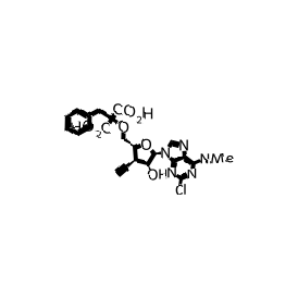 C#C[C@@H]1[C@@H](O)[C@H](n2cnc3c(NC)nc(Cl)nc32)O[C@@H]1COC(Cc1ccccc1)(C(=O)O)C(=O)O